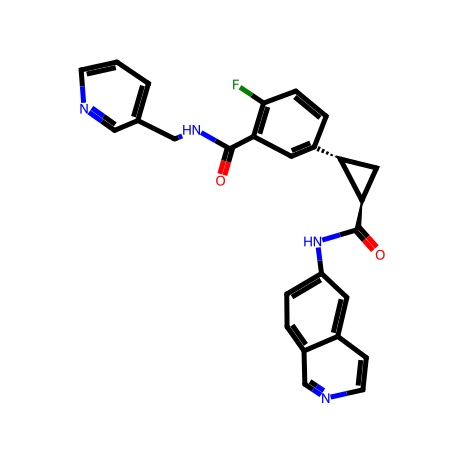 O=C(NCc1cccnc1)c1cc([C@@H]2C[C@H]2C(=O)Nc2ccc3cnccc3c2)ccc1F